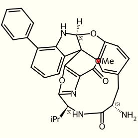 COC(=O)c1nc2oc1C13c4cc(ccc4O[C@@H]1Nc1c(-c4ccccc4)cccc13)C[C@H](N)C(=O)N[C@H]2C(C)C